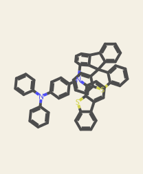 c1ccc(N(c2ccccc2)c2ccc(N(c3cccc4c3C3(c5ccccc5Sc5ccccc53)c3ccccc3-4)c3cccc4c3sc3ccccc34)cc2)cc1